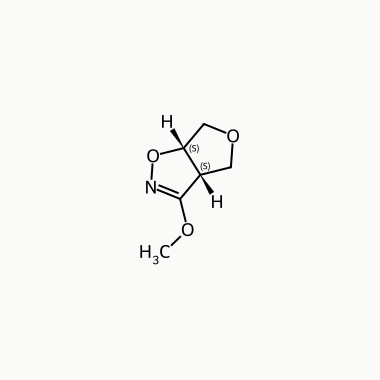 COC1=NO[C@@H]2COC[C@H]12